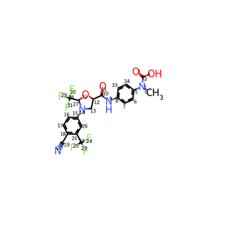 CN(C(=O)O)c1ccc(NC(=O)C2CN(c3ccc(C#N)c(C(F)(F)F)c3)C(C(F)(F)F)O2)cc1